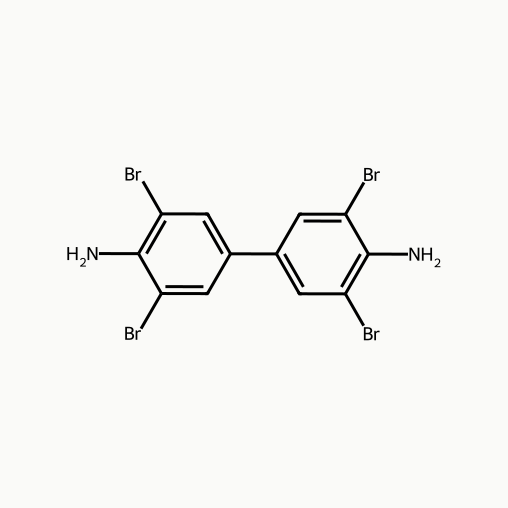 Nc1c(Br)cc(-c2cc(Br)c(N)c(Br)c2)cc1Br